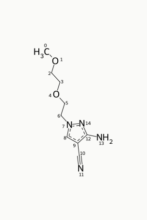 COCCOCCn1cc(C#N)c(N)n1